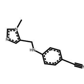 Cn1cncc1CNc1ccc(C#N)cc1